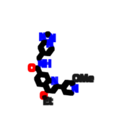 CCOc1cc(-c2ccnc(OC)c2)nc2cc(C(=O)NCc3ccn4ncnc4c3)ccc12